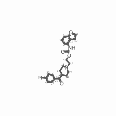 O=C(Nc1cccc2occc12)OCCN1CCC(C(=O)c2ccc(I)cc2)CC1